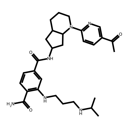 CC(=O)c1ccc(N2CCCC3CC(NC(=O)c4ccc(C(N)=O)c(NCCCNC(C)C)c4)CC32)nc1